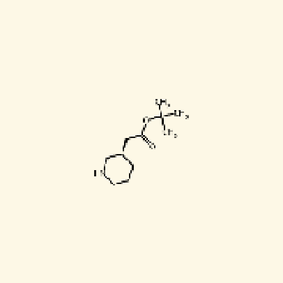 CC(C)(C)OC(=O)C[C@H]1CCCNC1